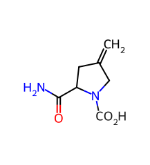 C=C1CC(C(N)=O)N(C(=O)O)C1